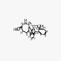 O=C(O)C[C@@]1(c2nc(-c3ccccc3Cl)cs2)C(=O)NC[C@H](O)CC[C@H]1c1ccccc1